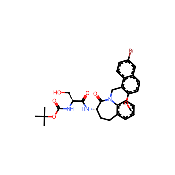 COc1ccc2cc(Br)ccc2c1CN1C(=O)[C@@H](NC(=O)[C@H](CO)NC(=O)OC(C)(C)C)CCc2ccccc21